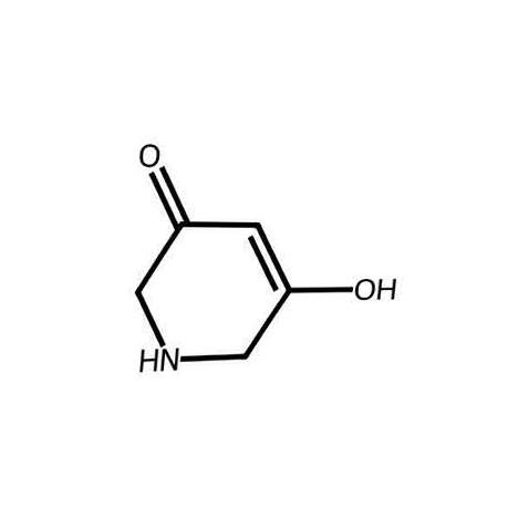 O=C1C=C(O)CNC1